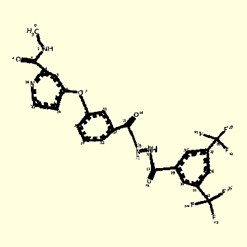 CNC(=O)c1cc(Oc2cccc(C(=O)NNC(=O)c3cc(C(F)(F)F)cc(C(F)(F)F)c3)c2)ccn1